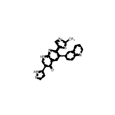 Cc1ncc(-c2nc3[nH]cc(-c4ccn[nH]4)c(=O)c3cc2-c2ccc3ncccc3c2)s1